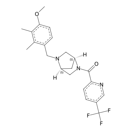 COc1ccc(CN2C[C@@H]3C[C@H]2CN3C(=O)c2ccc(C(F)(F)F)cn2)c(C)c1C